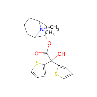 C[N+]1(C)C2CCCC1[C@@H](OC(=O)C(O)(c1cccs1)c1cccs1)C2